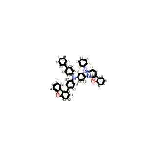 C1=Cc2c(oc3ccccc23)N2C=1N(c1ccccc1)c1cc(N(c3ccc(-c4ccccc4)cc3)c3ccc(-c4cccc5oc6ccccc6c45)cc3)ccc12